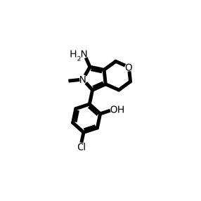 Cn1c(N)c2c(c1-c1ccc(Cl)cc1O)CCOC2